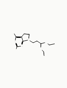 CCOC(CCN1CCc2c(Cl)nc(Cl)nc21)OCC